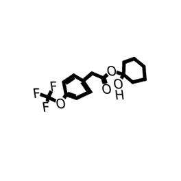 O=C(Cc1ccc(OC(F)(F)F)cc1)OC1(O)CCCCC1